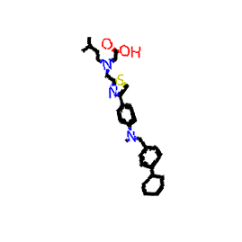 CC(C)CCN(CC(=O)O)Cc1nc(-c2ccc(N(C)Cc3ccc(C4CCCCC4)cc3)cc2)cs1